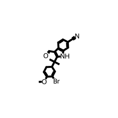 COC1=CCC(C(C)(C)c2[nH]c3cc(C#N)ccc3c2C=O)C=C1Br